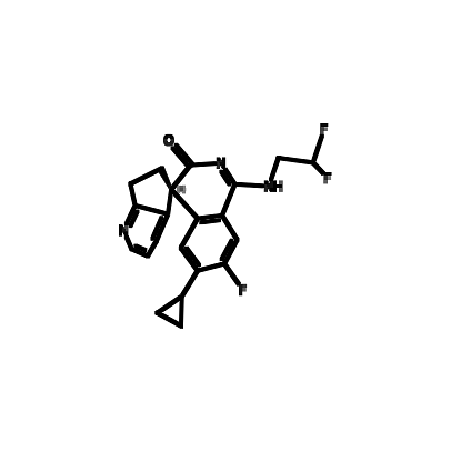 O=C1N=C(NCC(F)F)c2cc(F)c(C3CC3)cc2[C@@]12CCc1ncccc12